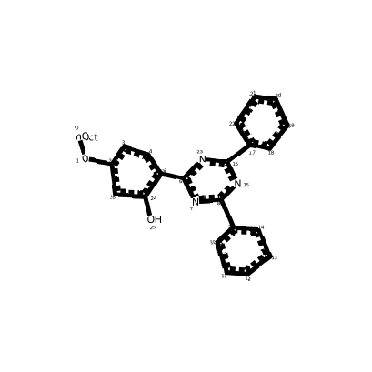 CCCCCCCCOc1ccc(-c2nc(-c3ccccc3)nc(-c3ccccc3)n2)c(O)c1